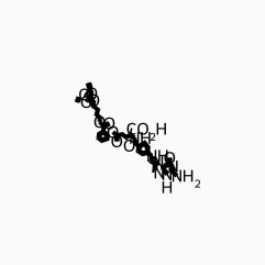 C#COP(=O)(OC#C)OCCCCOC(=O)c1ccccc1OC(=O)CC[C@H](NC(=O)c1ccc(NCc2cnc3[nH]c(N)nc(=O)c3n2)cc1)C(=O)O